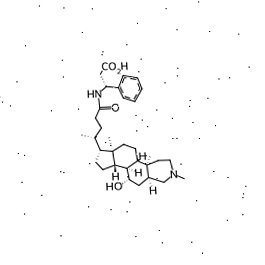 C[C@H](CCC(=O)N[C@H](CC(=O)O)c1ccccc1)[C@H]1CC[C@H]2[C@@H]3[C@@H](O)C[C@@H]4CN(C)CC[C@]4(C)[C@H]3CC[C@]12C